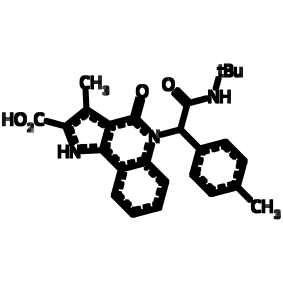 Cc1ccc(C(C(=O)NC(C)(C)C)n2c(=O)c3c(C)c(C(=O)O)[nH]c3c3ccccc32)cc1